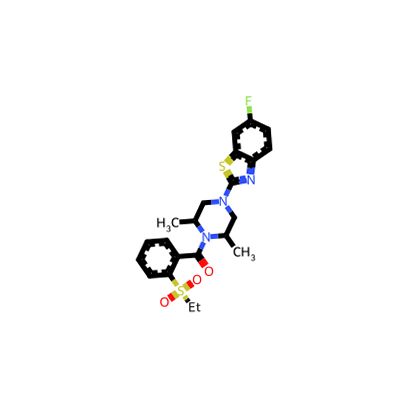 CCS(=O)(=O)c1ccccc1C(=O)N1C(C)CN(c2nc3ccc(F)cc3s2)CC1C